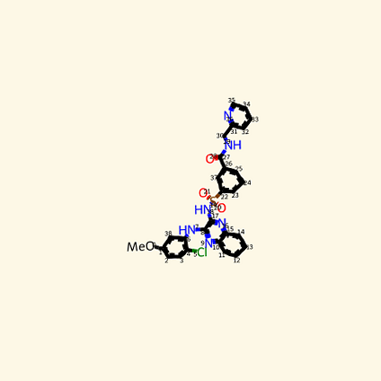 COc1ccc(Cl)c(Nc2nc3ccccc3nc2NS(=O)(=O)c2cccc(C(=O)NCc3ccccn3)c2)c1